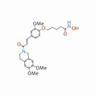 COc1cc2c(cc1OC)CN(C(=O)C=Cc1ccc(OCCCCC(=O)NO)c(OC)c1)CC2